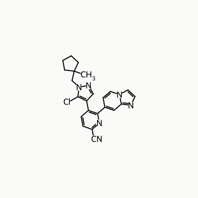 CC1(Cn2ncc(-c3ccc(C#N)nc3-c3ccn4ccnc4c3)c2Cl)CCCC1